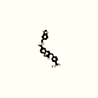 O=C(O)c1ccc(Cc2cc3cc(C(=O)OCc4ccc5ocnc5c4)ccc3[nH]c2=O)cc1